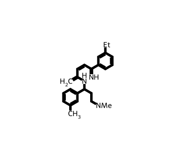 C=C(/C=C\C(=N)c1cccc(CC)c1)NC(CCNC)c1cccc(C)c1